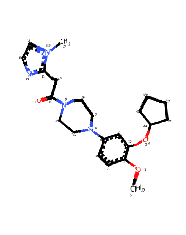 COc1ccc(N2CCN(C(=O)Cc3nccn3C)CC2)cc1OC1CCCC1